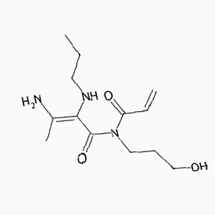 C=CC(=O)N(CCCO)C(=O)/C(NCCC)=C(\C)N